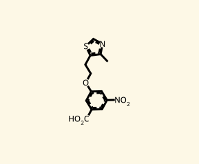 Cc1ncsc1CCOc1cc(C(=O)O)cc([N+](=O)[O-])c1